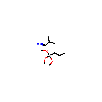 CC(C)C=N.CCC[Si](OC)(OC)OC